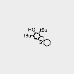 CC(C)(C)c1cc2c(c(C(C)(C)C)c1O)CC1(CCCCC1)S2